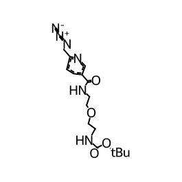 CC(C)(C)OC(=O)NCCOCCNC(=O)c1ccc(CN=[N+]=[N-])nc1